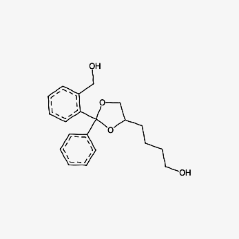 OCCCCC1COC(c2ccccc2)(c2ccccc2CO)O1